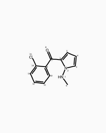 CNn1cccc1C(=O)c1ccccc1Cl